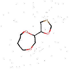 C1COCC(C2CSCO2)OC1